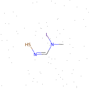 CN(I)/C=N\S